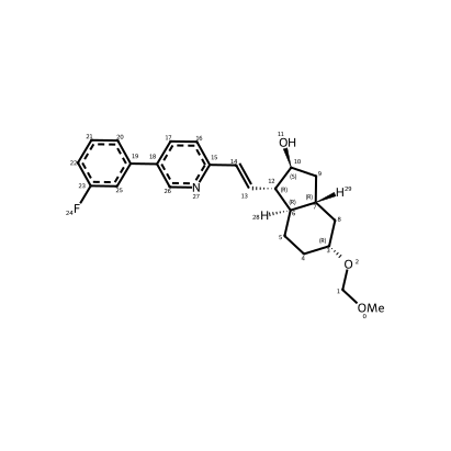 COCO[C@@H]1CC[C@@H]2[C@@H](C1)C[C@H](O)[C@H]2C=Cc1ccc(-c2cccc(F)c2)cn1